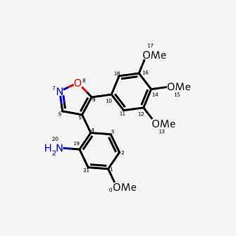 COc1ccc(-c2cnoc2-c2cc(OC)c(OC)c(OC)c2)c(N)c1